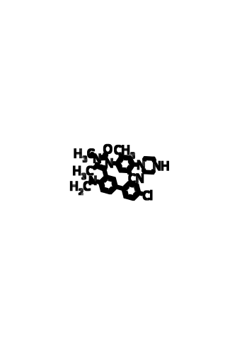 C=Nc1ccc(-c2ccc(Cl)cc2)cc1-c1c(C)n(C)c(=O)n1-c1cc(C#N)c(N2CCNCC2)cc1C